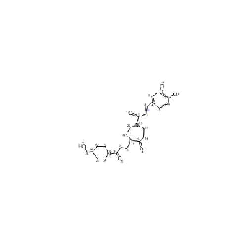 O=C(/C=C/c1ccc(Cl)c(Cl)c1)N1CCC(=O)N(CCC(=O)N2CCC(CO)CC2)CC1